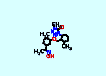 CC(=NO)c1ccc(C)c(OCc2c(C)cccc2-n2nnn(C)c2=O)c1